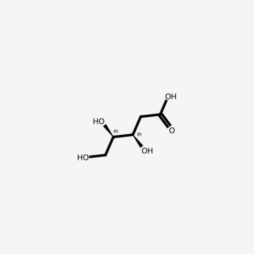 O=C(O)C[C@@H](O)[C@H](O)CO